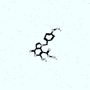 COC(=O)c1c(N)oc(=O)c2ccn(Cc3ccc(OC)cc3)c12